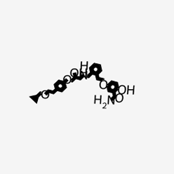 NC(=O)c1cc(OCCc2ccccc2CNCC(O)COc2ccc(CCOCC3CC3)cc2)ccc1O